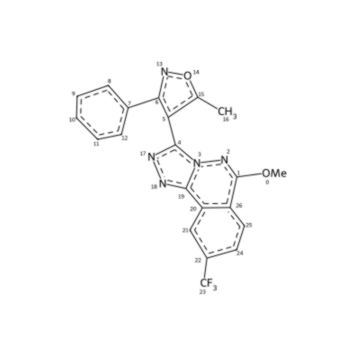 COc1nn2c(-c3c(-c4ccccc4)noc3C)nnc2c2cc(C(F)(F)F)ccc12